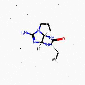 CC(C)C[C@@H]1N[C@H]2N=C(N)N3CCC[C@]23NC1=O